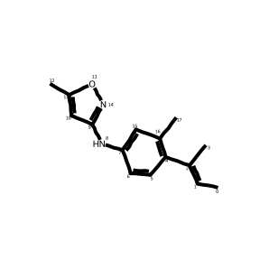 C/C=C(\C)c1ccc(Nc2cc(C)on2)cc1C